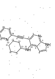 C(#Cc1cnc2[nH]ccc2c1NC1CCCCC1)c1ccccn1